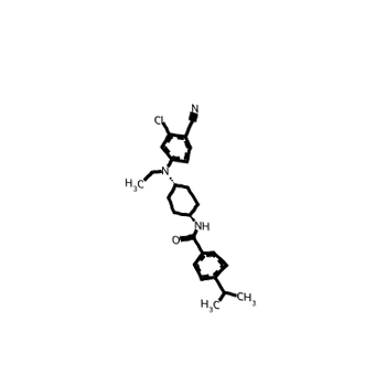 CCN(c1ccc(C#N)c(Cl)c1)[C@H]1CC[C@H](NC(=O)c2ccc(C(C)C)cc2)CC1